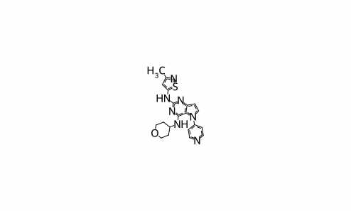 Cc1cc(Nc2nc(NC3CCOCC3)c3c(ccn3-c3ccncc3)n2)sn1